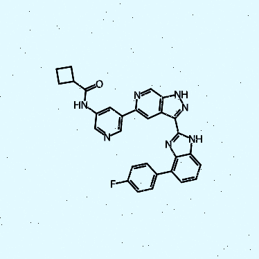 O=C(Nc1cncc(-c2cc3c(-c4nc5c(-c6ccc(F)cc6)cccc5[nH]4)n[nH]c3cn2)c1)C1CCC1